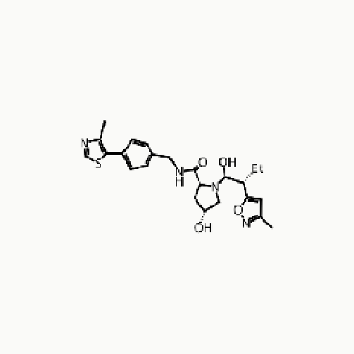 CC[C@H](c1cc(C)no1)C(O)N1C[C@H](O)C[C@H]1C(=O)NCc1ccc(-c2scnc2C)cc1